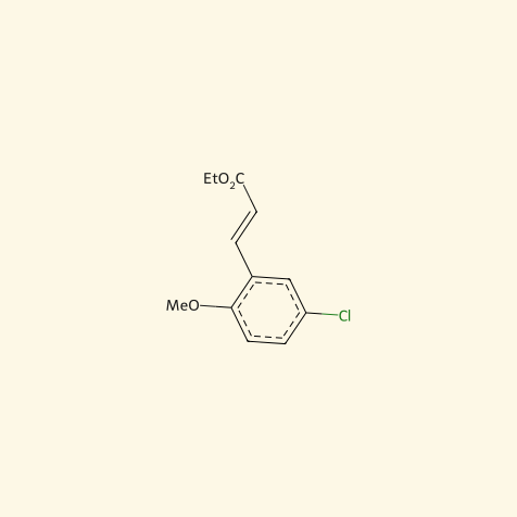 CCOC(=O)C=Cc1cc(Cl)ccc1OC